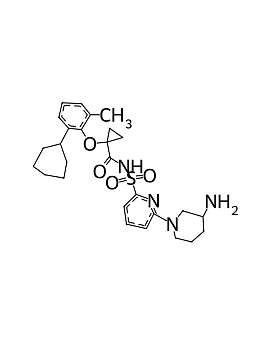 Cc1cccc(C2CCCCC2)c1OC1(C(=O)NS(=O)(=O)c2cccc(N3CCCC(N)C3)n2)CC1